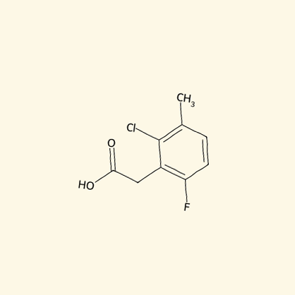 Cc1ccc(F)c(CC(=O)O)c1Cl